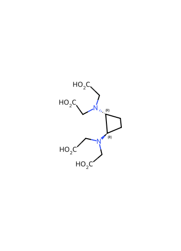 O=C(O)CN(CC(=O)O)[C@@H]1CC[C@H]1N(CC(=O)O)CC(=O)O